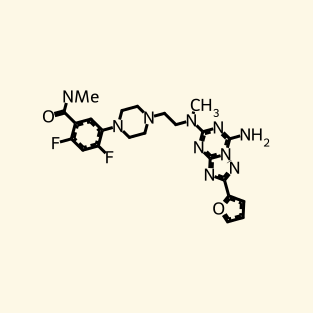 CNC(=O)c1cc(N2CCN(CCN(C)c3nc(N)n4nc(-c5ccco5)nc4n3)CC2)c(F)cc1F